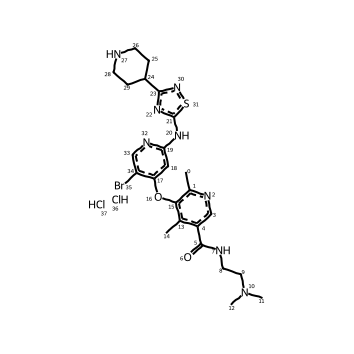 Cc1ncc(C(=O)NCCN(C)C)c(C)c1Oc1cc(Nc2nc(C3CCNCC3)ns2)ncc1Br.Cl.Cl